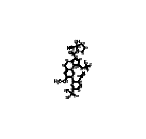 COc1cc2c(cc1-c1cc(C(F)(F)F)cnc1C#N)-c1c(CC(F)(F)F)cc(C(=O)N3CCC[C@]3(C)C#N)n1CC2